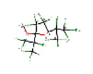 COC1(C(F)(C(F)(F)F)C(F)(F)F)OC(C(F)(C(F)(F)F)C(F)(F)F)C(F)(F)C1(F)F